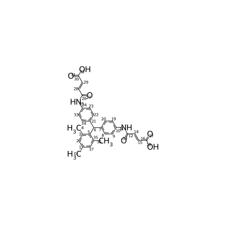 Cc1cc(C)c(C(c2ccc(NC(=O)/C=C/C(=O)O)cc2)c2ccc(NC(=O)/C=C/C(=O)O)cc2)c(C)c1